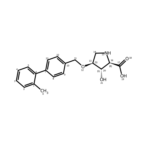 Cc1ccccc1-c1ccc(CO[C@H]2CN[C@@H](C(=O)O)[C@@H]2O)cc1